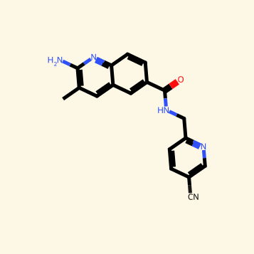 Cc1cc2cc(C(=O)NCc3ccc(C#N)cn3)ccc2nc1N